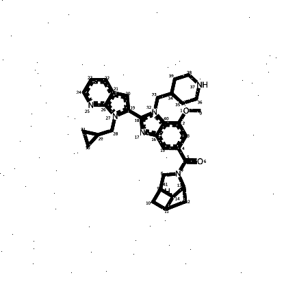 COc1cc(C(=O)N2CC3CC4CC2[C@H]43)cc2nc(-c3cc4cccnc4n3CC3CC3)n(CC3CCNCC3)c12